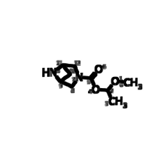 COC(C)OC(=O)N1CC2CC(C1)N2